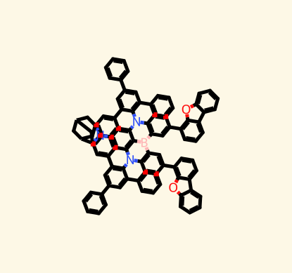 c1ccc(-c2cc(-c3ccccc3)c(N3c4ccc(-c5cccc6c5oc5ccccc56)cc4B4c5cc(-c6cccc7c6oc6ccccc67)ccc5N(c5c(-c6ccccc6)cc(-c6ccccc6)cc5-c5ccccc5)c5cc(N6C7CC8CC(C7)C6C8)cc3c54)c(-c3ccccc3)c2)cc1